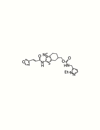 CCn1nccc1CNC(=O)OCC1CCc2c(sc(NC(=O)C=Cc3ccoc3)c2C#N)C1